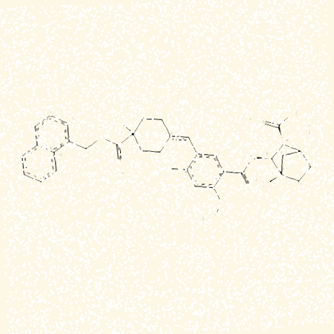 COc1cc(F)c(C=C2CCC(C)(C(=O)OCc3cccc4ccccc34)CC2)cc1C(=O)N[C@@H]1[C@H]2CC[C@@H](C2)[C@@H]1C(=O)O